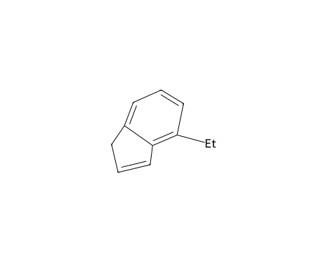 CCc1cccc2c1C=CC2